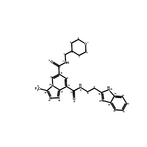 O=C(NCC1CCOCC1)c1cc(C(=O)NCCc2nc3ccccc3[nH]2)c2nnc(C(F)(F)F)n2c1